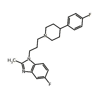 Cc1nc2cc(F)ccc2n1CCCN1CCC(c2ccc(F)cc2)CC1